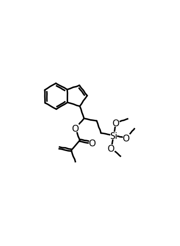 C=C(C)C(=O)OC(CC[Si](OC)(OC)OC)C1C=Cc2ccccc21